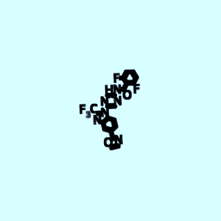 O=C(Nc1cnc(N2C(C(F)(F)F)=NC3C=C(c4ncco4)C=CC32)cn1)c1c(F)cccc1F